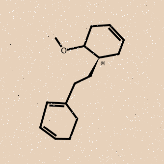 COC1CC=CC[C@H]1CCC1=CC=CCC1